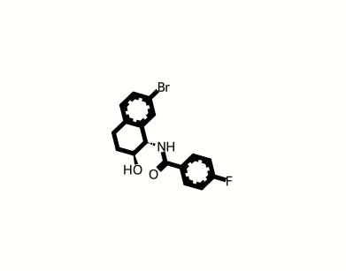 O=C(N[C@H]1c2cc(Br)ccc2CC[C@@H]1O)c1ccc(F)cc1